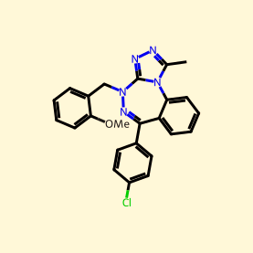 COc1ccccc1CN1N=C(c2ccc(Cl)cc2)c2ccccc2-n2c(C)nnc21